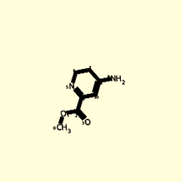 COC(=O)C1=NCCC(N)=C1